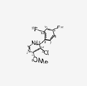 COc1ncnc(-c2ccc(F)cc2F)c1Cl